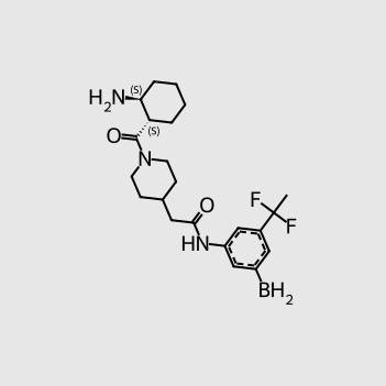 Bc1cc(NC(=O)CC2CCN(C(=O)[C@H]3CCCC[C@@H]3N)CC2)cc(C(C)(F)F)c1